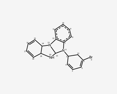 BrC1=CC=CC(N2c3ccccc3N3C4C=CC=CC4NC23)C1